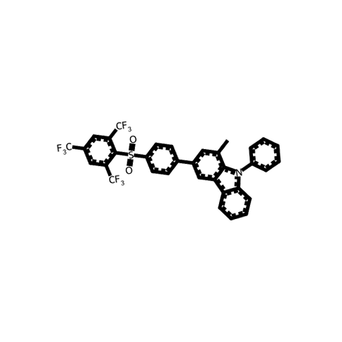 Cc1cc(-c2ccc(S(=O)(=O)c3c(C(F)(F)F)cc(C(F)(F)F)cc3C(F)(F)F)cc2)cc2c3ccccc3n(-c3ccccc3)c12